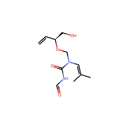 C=C[C@@H](CO)OCN(C=C(C)C)C(=O)NC=O